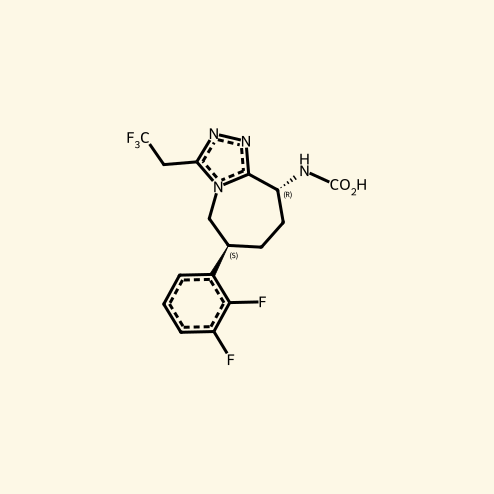 O=C(O)N[C@@H]1CC[C@@H](c2cccc(F)c2F)Cn2c(CC(F)(F)F)nnc21